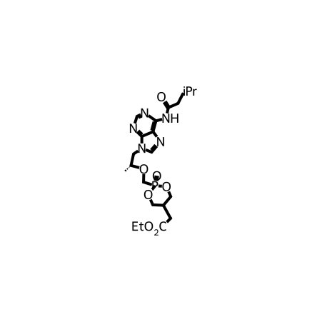 CCOC(=O)CC1COP(=O)(CO[C@H](C)Cn2cnc3c(NC(=O)CC(C)C)ncnc32)OC1